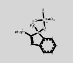 CCCCCCCC1=Cc2ccccc2S1(O[Cl+3]([O-])([O-])[O-])C(F)(F)F